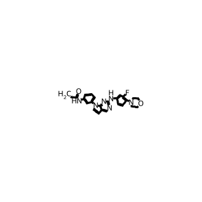 C=CC(=O)Nc1cccc(-n2ccc3cnc(Nc4ccc(N5CCOCC5)c(F)c4)nc32)c1